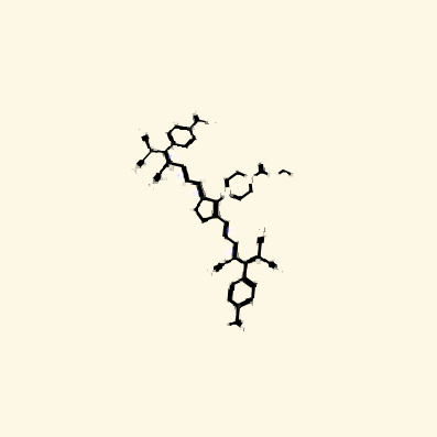 CCOC(=O)N1CCN(C2=C(/C=C/C=C(\C#N)C(=C(C#N)C#N)c3ccc(C(=O)O)cc3)CC\C2=C/C=C/C(C#N)=C(\c2ccc(C(=O)O)cc2)C(C#N)C#N)CC1